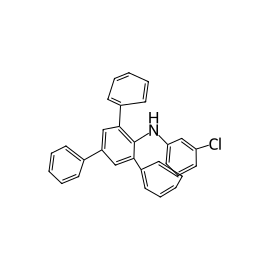 Clc1cccc(Nc2c(-c3ccccc3)cc(-c3ccccc3)cc2-c2ccccc2)c1